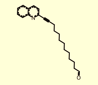 O=CCCCCCCCCCCC#Cc1ccc2ccccc2n1